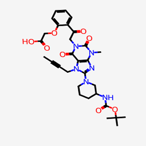 CC#CCn1c(N2CCCC(NC(=O)OC(C)(C)C)C2)nc2c1c(=O)n(CC(=O)c1ccccc1OCC(=O)O)c(=O)n2C